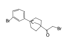 O=C(CBr)C12CCC(c3cccc(Br)c3)(CC1)CC2